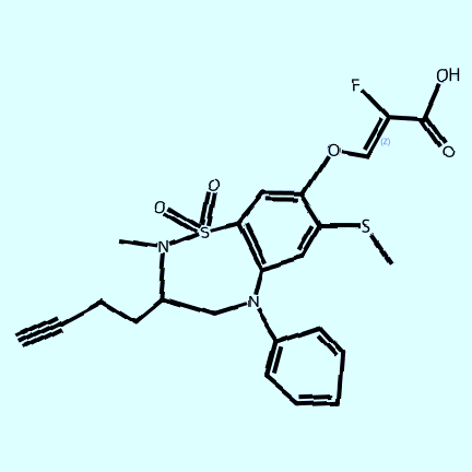 C#CCCC1CN(c2ccccc2)c2cc(SC)c(O/C=C(\F)C(=O)O)cc2S(=O)(=O)N1C